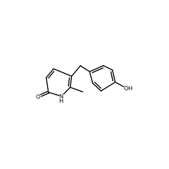 Cc1[nH]c(=O)ccc1Cc1ccc(O)cc1